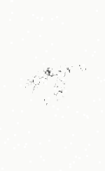 CC(=O)OCC1O[C@H](Sc2ccc(C#N)c(Cl)c2)C(OC(C)=O)C(n2cc(-c3ccc(F)c(F)c3)nn2)[C@H]1OC(C)=O